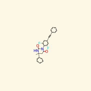 CC1(c2ccccc2)CC(=O)N(c2c(F)cc(C#Cc3ccccc3)cc2F)C(=O)N1